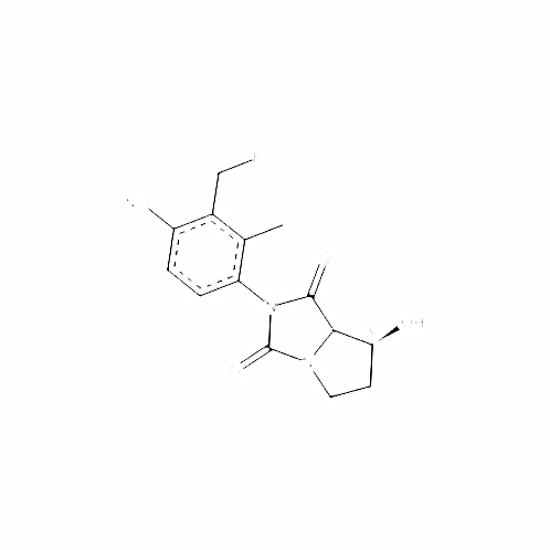 Cc1c(N2C(=O)C3[C@@H](O)CCN3C2=O)ccc(C#N)c1CF